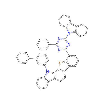 c1ccc(-c2cccc(-n3c4ccccc4c4ccc5c6cccc(-c7nc(-c8ccccc8)nc(-n8c9ccccc9c9ccccc98)n7)c6sc5c43)c2)cc1